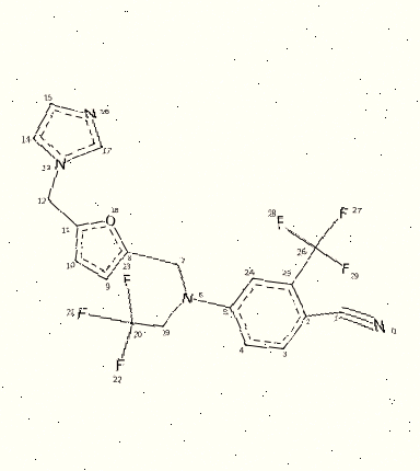 N#Cc1ccc(N(Cc2ccc(Cn3ccnc3)o2)CC(F)(F)F)cc1C(F)(F)F